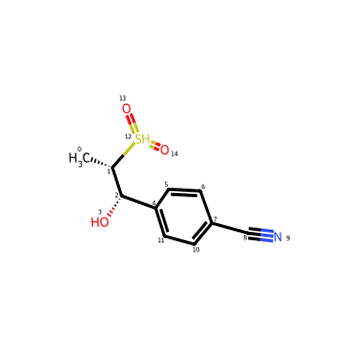 C[C@@H]([C@@H](O)c1ccc(C#N)cc1)[SH](=O)=O